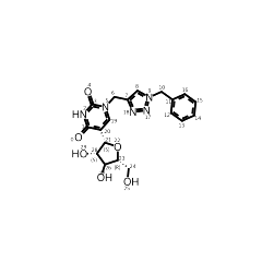 O=c1[nH]c(=O)n(Cc2cn(Cc3ccccc3)nn2)cc1[C@@H]1O[C@H](CO)C(O)[C@@H]1O